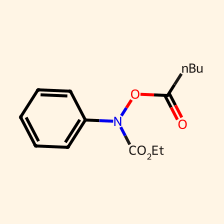 CCCCC(=O)ON(C(=O)OCC)c1ccccc1